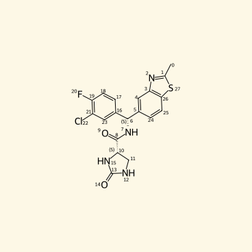 Cc1nc2cc([C@H](NC(=O)[C@@H]3CNC(=O)N3)c3ccc(F)c(Cl)c3)ccc2s1